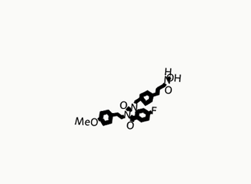 COc1ccc(CCn2c(=O)c3ccc(F)cc3n(Cc3ccc(/C=C/C(=O)NO)cc3)c2=O)cc1